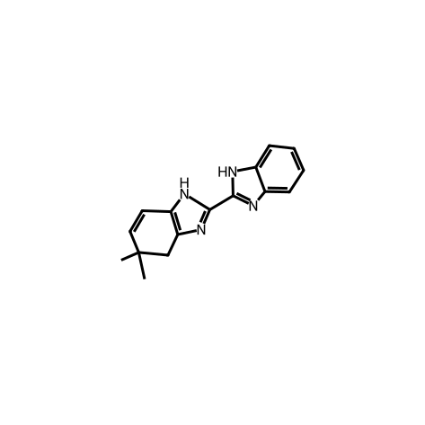 CC1(C)C=Cc2[nH]c(-c3nc4ccccc4[nH]3)nc2C1